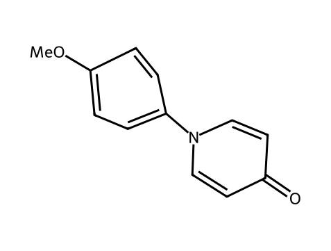 COc1ccc(-n2ccc(=O)cc2)cc1